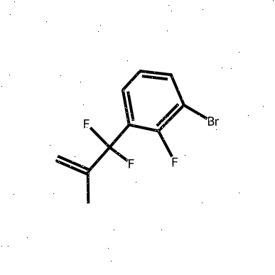 C=C(C)C(F)(F)c1cccc(Br)c1F